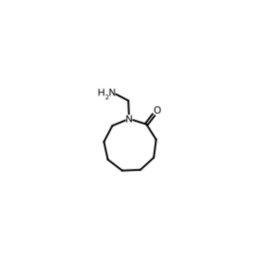 NCN1CCCCCCCC1=O